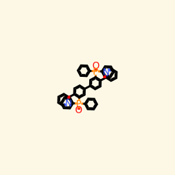 O=P(c1ccccc1)(c1ccccc1)c1cc(-c2ccc(-c3ccccn3)c(P(=O)(c3ccccc3)c3ccccc3)c2)ccc1-c1ccccn1